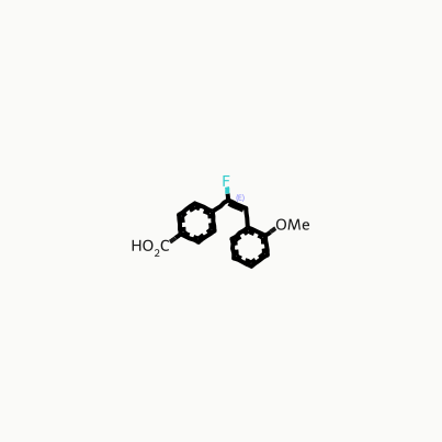 COc1ccccc1/C=C(/F)c1ccc(C(=O)O)cc1